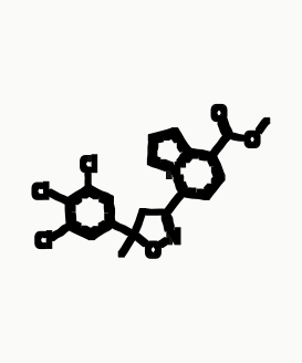 COC(=O)c1ccc(C2=NOC(C)(c3cc(Cl)c(Cl)c(Cl)c3)C2)n2cccc12